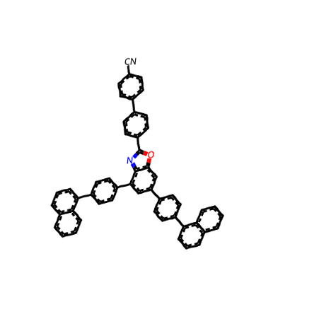 N#Cc1ccc(-c2ccc(-c3nc4c(-c5ccc(-c6cccc7ccccc67)cc5)cc(-c5ccc(-c6cccc7ccccc67)cc5)cc4o3)cc2)cc1